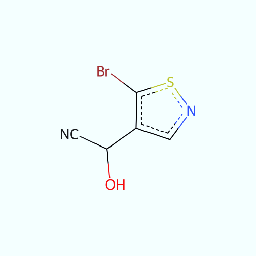 N#CC(O)c1cnsc1Br